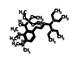 CCN(CC)C([SiH2]CCc1ccc([SiH](C)C)c([SiH](C)C)c1C(C)[Si](OC)(OC)OC)N(CC)CC